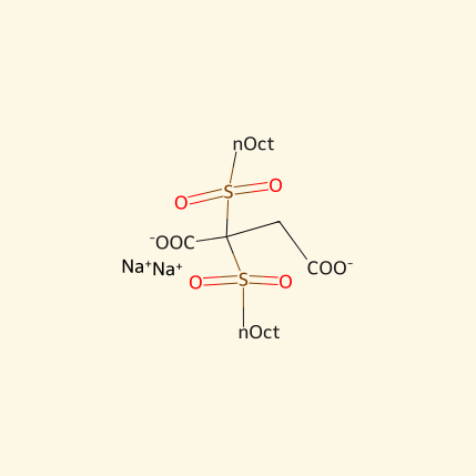 CCCCCCCCS(=O)(=O)C(CC(=O)[O-])(C(=O)[O-])S(=O)(=O)CCCCCCCC.[Na+].[Na+]